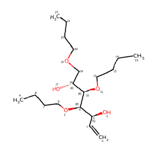 C=C[C@H](O)[C@@H](OCCCC)[C@H](OCCCC)[C@H](O)COCCCC